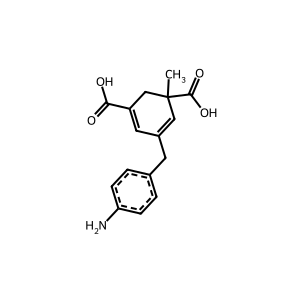 CC1(C(=O)O)C=C(Cc2ccc(N)cc2)C=C(C(=O)O)C1